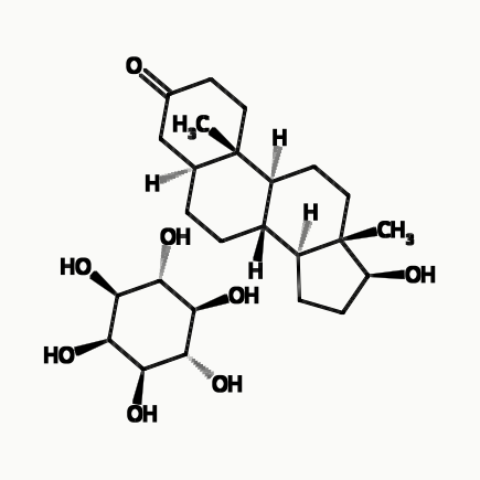 C[C@]12CCC(=O)C[C@@H]1CC[C@@H]1[C@@H]2CC[C@]2(C)[C@@H](O)CC[C@@H]12.O[C@H]1[C@H](O)[C@@H](O)[C@H](O)[C@@H](O)[C@H]1O